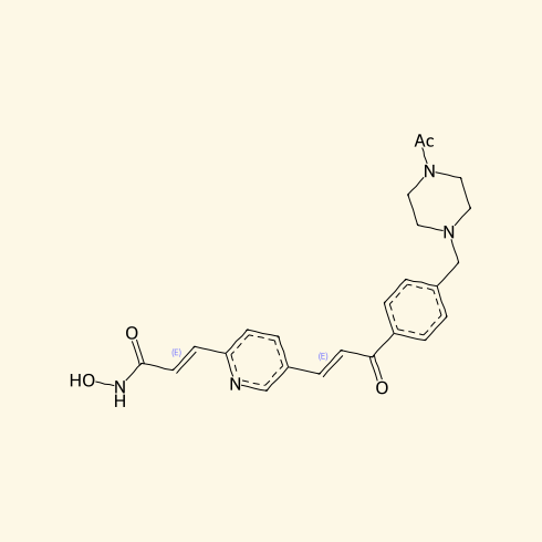 CC(=O)N1CCN(Cc2ccc(C(=O)/C=C/c3ccc(/C=C/C(=O)NO)nc3)cc2)CC1